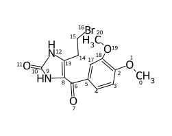 COc1ccc(C(=O)c2[nH]c(=O)[nH]c2CCBr)cc1OC